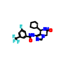 O=C1Cn2cnc(NC(=O)c3cc(F)cc(C(F)(F)F)c3)c2C(C2CCCCC2)N1